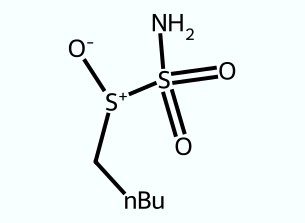 CCCCC[S+]([O-])S(N)(=O)=O